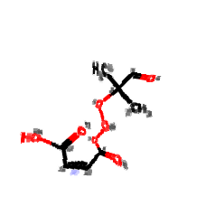 CC(C)(C=O)OOOC(=O)/C=C\C(=O)O